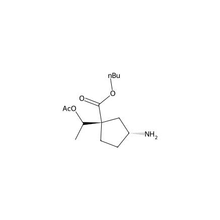 CCCCOC(=O)[C@@]1(C(C)OC(C)=O)CC[C@@H](N)C1